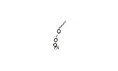 N#Cc1ccc([C@H]2CC[C@H](CC[C@H]3CC[C@H](C=CCCCF)CC3)CC2)cc1F